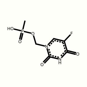 CP(=O)(O)OCn1cc(F)c(=O)[nH]c1=O